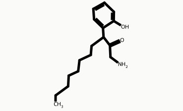 CCCCCCCCC(C(=O)CN)c1ccccc1O